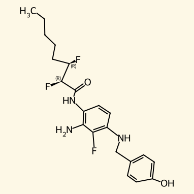 CCCCC[C@@H](F)[C@H](F)C(=O)Nc1ccc(NCc2ccc(O)cc2)c(F)c1N